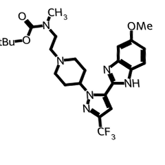 COc1ccc2[nH]c(-c3cc(C(F)(F)F)nn3C3CCN(CCN(C)C(=O)OC(C)(C)C)CC3)nc2c1